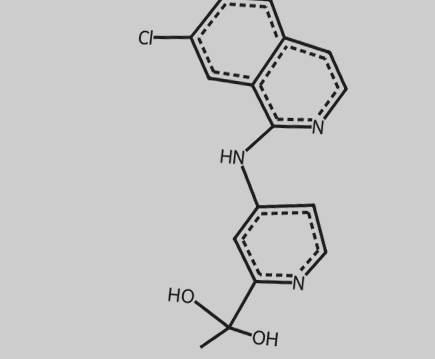 CC(O)(O)c1cc(Nc2nccc3ccc(Cl)cc23)ccn1